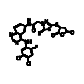 O=C(Cn1nc(SC2CC(=O)OC2=O)sc1=S)Nc1ccc2ncnc(Nc3cc(Cl)c(Cl)cc3F)c2c1